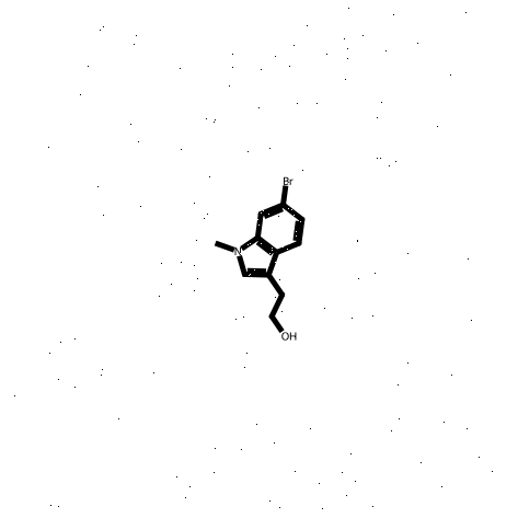 Cn1cc(CCO)c2ccc(Br)cc21